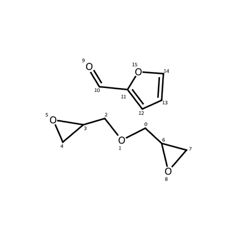 C(OCC1CO1)C1CO1.O=Cc1ccco1